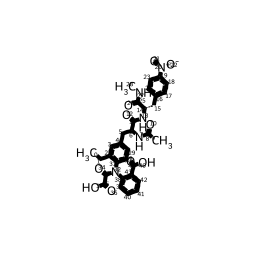 CCc1cc(CC(NC(C)=O)C(=O)N[C@@H](Cc2ccc([N+](=O)[O-])cc2)C(=O)NC)ccc1N(C(=O)C(=O)O)c1ccccc1C(=O)O